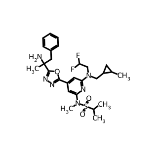 CC1CC1CN(CC(F)F)c1cc(-c2nnc(C(C)(N)Cc3ccccc3)o2)cc(N(C)S(=O)(=O)C(C)C)n1